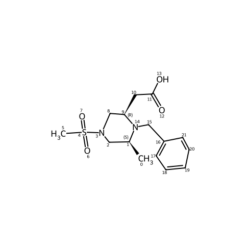 C[C@H]1CN(S(C)(=O)=O)C[C@@H](CC(=O)O)N1Cc1ccccc1